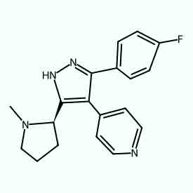 CN1CCC[C@@H]1c1[nH]nc(-c2ccc(F)cc2)c1-c1ccncc1